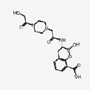 O=C(CN1CCN(C(=O)CO)CC1)N[C@H]1Cc2cccc(C(=O)O)c2OB1O